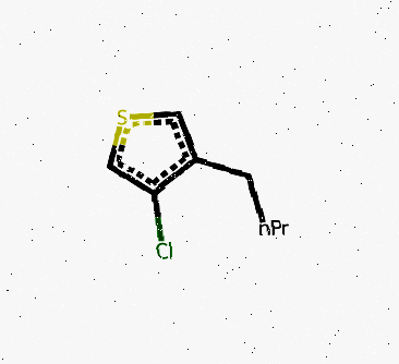 CCCCc1cscc1Cl